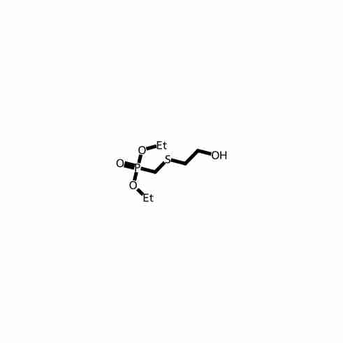 CCOP(=O)(CSCCO)OCC